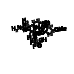 COc1ccc(OC)c(S(=O)(=O)Nc2ccc(C)n(C(C(N)=O)C(C)ON=C(N)N)c2=O)c1.O=C(O)C(F)(F)F